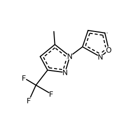 Cc1cc(C(F)(F)F)nn1-c1c[c]on1